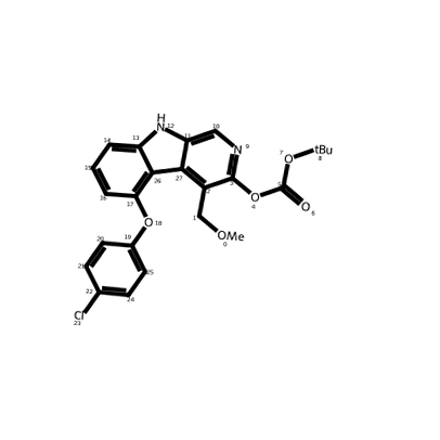 COCc1c(OC(=O)OC(C)(C)C)ncc2[nH]c3cccc(Oc4ccc(Cl)cc4)c3c12